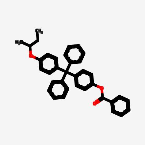 CCC(C)Oc1ccc(C(c2ccccc2)(c2ccccc2)c2ccc(OC(=O)c3ccccc3)cc2)cc1